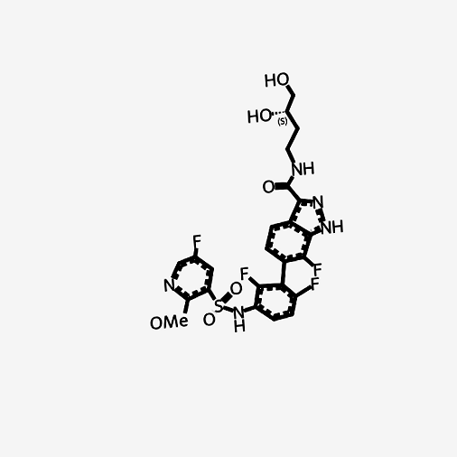 COc1ncc(F)cc1S(=O)(=O)Nc1ccc(F)c(-c2ccc3c(C(=O)NCC[C@H](O)CO)n[nH]c3c2F)c1F